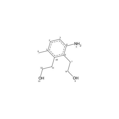 Cc1ccc(N)c(CCO)c1CCO